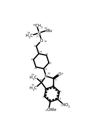 COc1cc2c(cc1[N+](=O)[O-])C(=O)N(C1CCC(CO[Si](C)(C)C(C)(C)C)CC1)C2(C)C